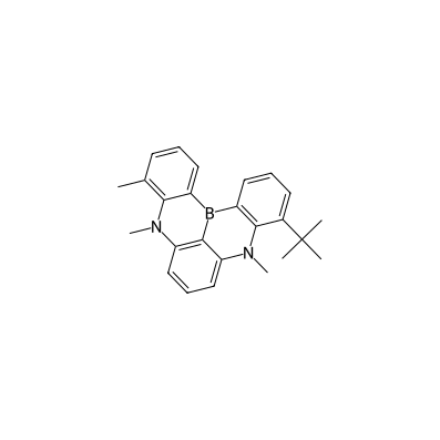 Cc1cccc2c1N(C)c1cccc3c1B2c1cccc(C(C)(C)C)c1N3C